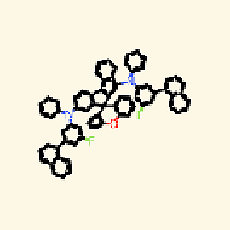 Fc1cc(-c2cccc3ccccc23)cc(N(c2ccccc2)c2ccc3c(c2)C2(c4ccccc4Oc4ccccc42)c2cc(N(c4ccccc4)c4cc(F)cc(-c5cccc6ccccc56)c4)c4ccccc4c2-3)c1